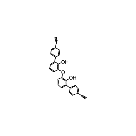 C#Cc1ccc(-c2cccc(Oc3cccc(-c4ccc(C#C)cc4)c3O)c2O)cc1